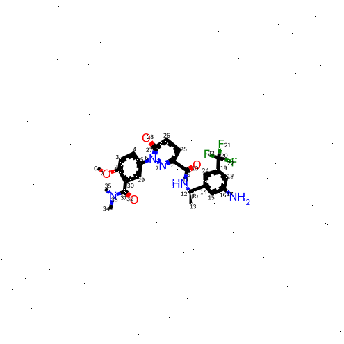 COc1ccc(-n2nc(C(=O)N[C@H](C)c3cc(N)cc(C(F)(F)F)c3)ccc2=O)cc1C(=O)N(C)C